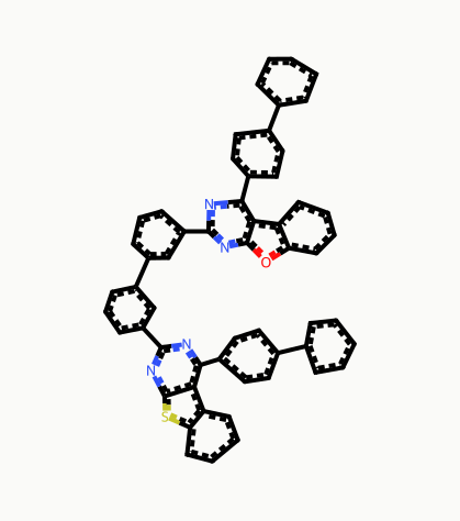 c1ccc(-c2ccc(-c3nc(-c4cccc(-c5cccc(-c6nc(-c7ccc(-c8ccccc8)cc7)c7c(n6)sc6ccccc67)c5)c4)nc4oc5ccccc5c34)cc2)cc1